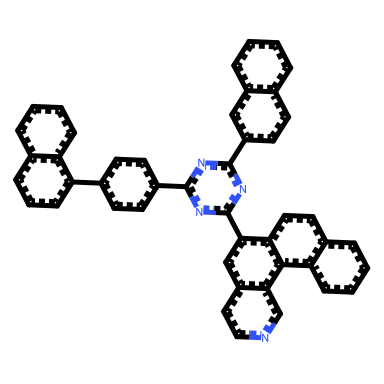 c1ccc2cc(-c3nc(-c4ccc(-c5cccc6ccccc56)cc4)nc(-c4cc5ccncc5c5c4ccc4ccccc45)n3)ccc2c1